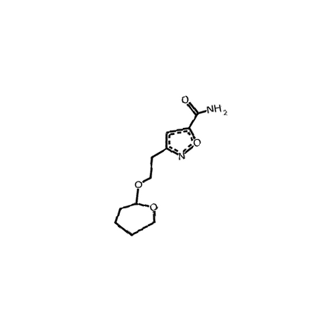 NC(=O)c1cc(CCOC2CCCCO2)no1